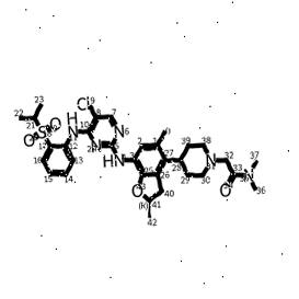 Cc1cc(Nc2ncc(Cl)c(Nc3ccccc3S(=O)(=O)C(C)C)n2)c2c(c1C1CCN(CC(=O)N(C)C)CC1)C[C@@H](C)O2